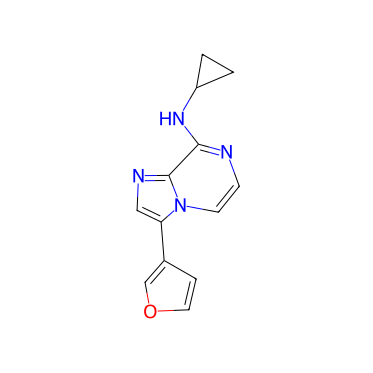 c1cn2c(-c3ccoc3)cnc2c(NC2CC2)n1